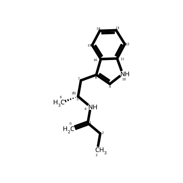 C=C(CC)N[C@H](C)Cc1c[nH]c2ccccc12